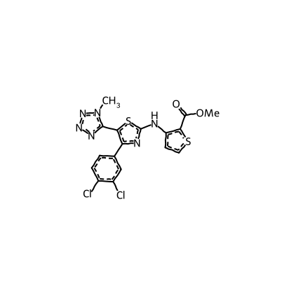 COC(=O)c1sccc1Nc1nc(-c2ccc(Cl)c(Cl)c2)c(-c2nnnn2C)s1